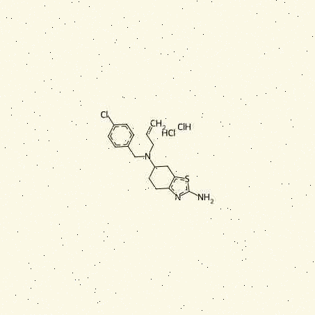 C=CCN(Cc1ccc(Cl)cc1)C1CCc2nc(N)sc2C1.Cl.Cl